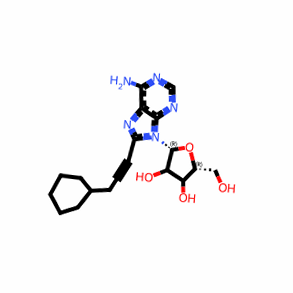 Nc1ncnc2c1nc(C#CCC1CCCCC1)n2[C@@H]1O[C@H](CO)C(O)C1O